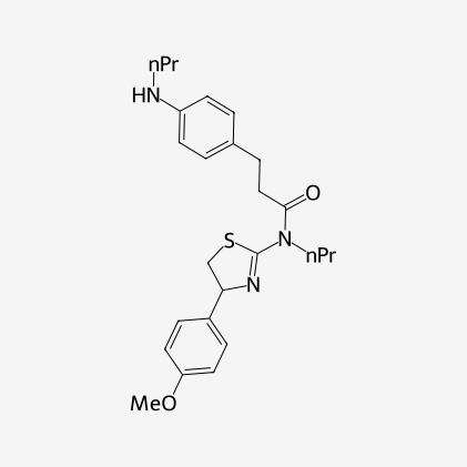 CCCNc1ccc(CCC(=O)N(CCC)C2=NC(c3ccc(OC)cc3)CS2)cc1